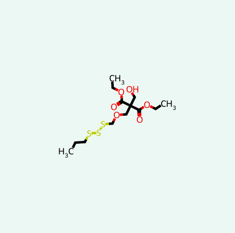 CCCSSSCOCC(CO)(C(=O)OCC)C(=O)OCC